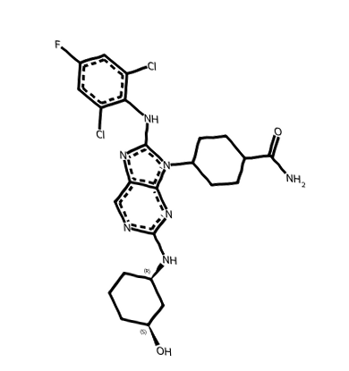 NC(=O)C1CCC(n2c(Nc3c(Cl)cc(F)cc3Cl)nc3cnc(N[C@@H]4CCC[C@H](O)C4)nc32)CC1